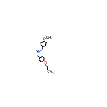 CCCCOc1ccc(C[C@H]2CN2Cc2ccc(OC)cc2)cc1